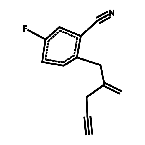 C#CCC(=C)Cc1ccc(F)cc1C#N